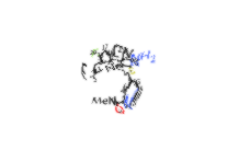 CNC(=O)c1cc(CSc2nc(N)c(C#N)c(-c3ccc(F)c(C(F)(F)F)c3)c2C#N)ccn1